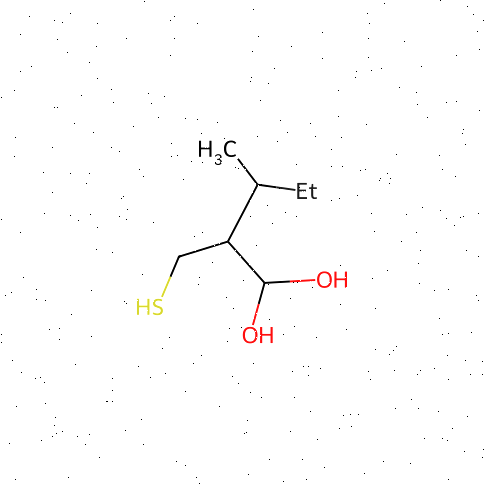 CCC(C)C(CS)C(O)O